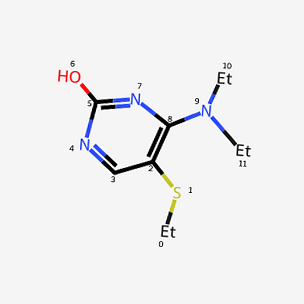 CCSc1cnc(O)nc1N(CC)CC